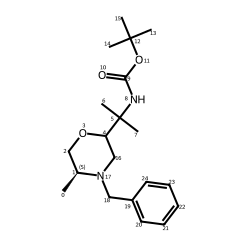 C[C@H]1COC(C(C)(C)NC(=O)OC(C)(C)C)CN1Cc1ccccc1